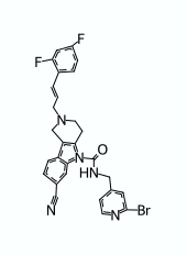 N#Cc1ccc2c3c(n(C(=O)NCc4ccnc(Br)c4)c2c1)CCN(CC=Cc1ccc(F)cc1F)C3